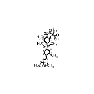 CCC(O)(/C=C/c1ccc(C(CC)(CC)c2ccc(C(=O)N(C)C(C)(C)C(=O)O)c(C)c2)cc1C)CC